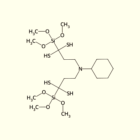 CO[Si](OC)(OC)C(S)(S)CCN(CCC(S)(S)[Si](OC)(OC)OC)C1CCCCC1